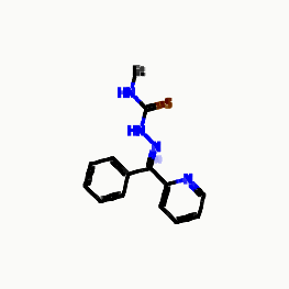 CCNC(=S)N/N=C(\c1ccccc1)c1ccccn1